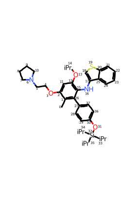 Cc1c(OCCN2CCCC2)cc(OC(C)C)c(Nc2csc3ccccc23)c1-c1ccc(O[Si](C(C)C)(C(C)C)C(C)C)cc1